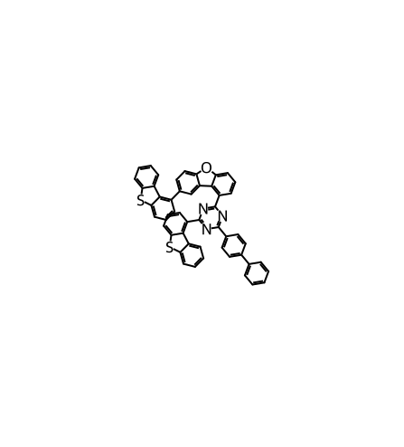 c1ccc(-c2ccc(-c3nc(-c4cccc5oc6ccc(-c7cccc8sc9ccccc9c78)cc6c45)nc(-c4cccc5sc6ccccc6c45)n3)cc2)cc1